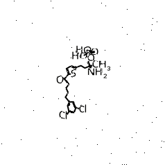 CC(N)(CCc1ccc(C(=O)CCCCc2cc(Cl)cc(Cl)c2)s1)COP(=O)(O)O